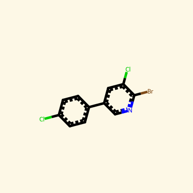 Clc1ccc(-c2cnc(Br)c(Cl)c2)cc1